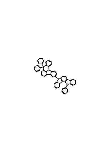 c1ccc(-n2c3ccccc3c3ccc4c(c5ccccc5n4-c4ccc5c(c4)c4cccc6c4n5-c4ccccc4C6(c4ccccc4)c4ccccc4)c32)cc1